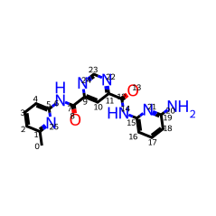 Cc1cccc(NC(=O)c2cc(C(=O)Nc3cccc(N)n3)ncn2)n1